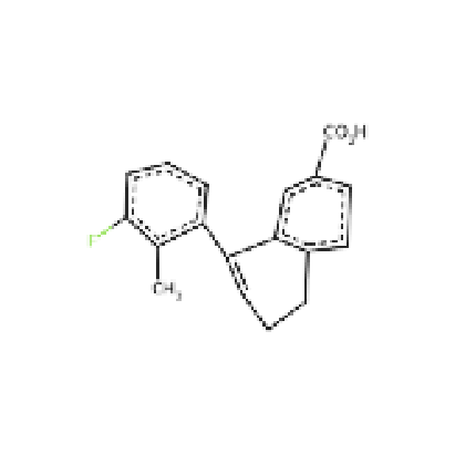 Cc1c(F)cccc1C1=CCCc2ccc(C(=O)O)cc21